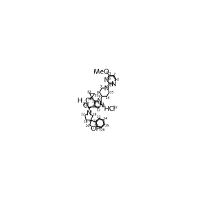 COc1ccnc(N2CCC(n3ncc(C(=O)N4CCC(CO)(c5ccccc5)C4)c3C3(C)CC3)CC2)n1.Cl